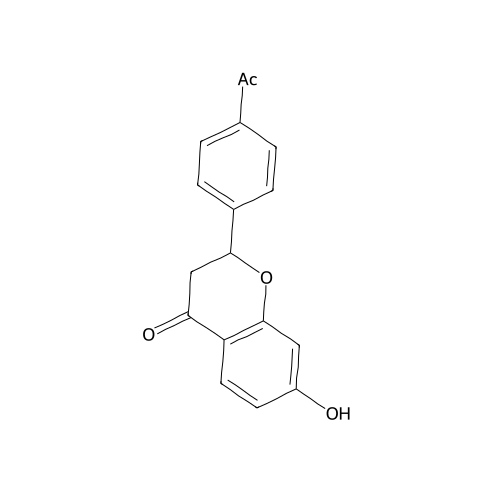 CC(=O)c1ccc(C2CC(=O)c3ccc(O)cc3O2)cc1